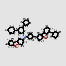 c1ccc(-c2cc(-c3ccccc3)cc(N(c3ccc(-c4ccc5oc6c(-c7ccccc7)cccc6c5c4)cc3)c3ccc4oc5ccccc5c4c3)c2)cc1